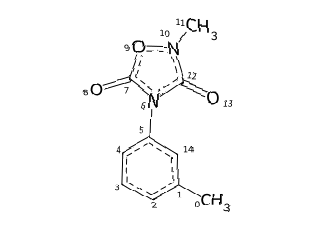 Cc1cccc(-n2c(=O)on(C)c2=O)c1